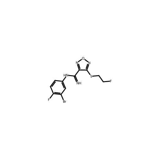 N=C(Nc1ccc(F)c(Br)c1)c1nonc1SCCF